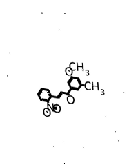 COc1cc(C)cc(C(=O)/C=C/c2ccccc2[N+](=O)[O-])c1